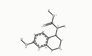 COC(=O)N(C)C1COCc2nc(OC)ccc21